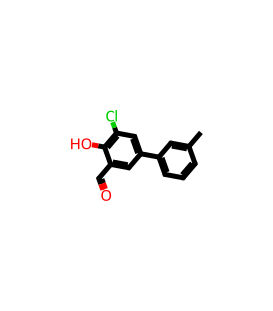 Cc1cccc(-c2cc(Cl)c(O)c(C=O)c2)c1